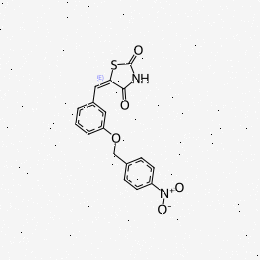 O=C1NC(=O)/C(=C\c2cccc(OCc3ccc([N+](=O)[O-])cc3)c2)S1